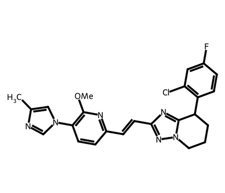 COc1nc(/C=C/c2nc3n(n2)CCCC3c2ccc(F)cc2Cl)ccc1-n1cnc(C)c1